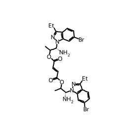 CCc1nn([C@H](N)C(C)OC(=O)/C=C/C(=O)OC(C)[C@@H](N)n2nc(CC)c3ccc(Br)cc32)c2cc(Br)ccc12